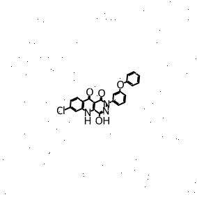 O=c1c2ccc(Cl)cc2[nH]c2c(O)nn(-c3cccc(Oc4ccccc4)c3)c(=O)c12